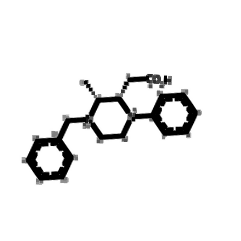 C[C@@H]1[C@H](CC(=O)O)N(c2ccccc2)CCN1Cc1ccccc1